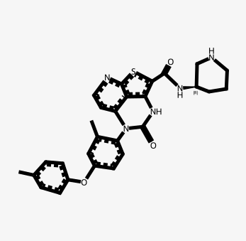 Cc1ccc(Oc2ccc(N3C(=O)Nc4c(C(=O)N[C@@H]5CCCNC5)sc5nccc3c45)c(C)c2)cc1